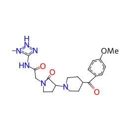 COc1ccc(C(=O)C2CCN(C3CCN(CC(=O)Nc4n[nH]n4C)C3=O)CC2)cc1